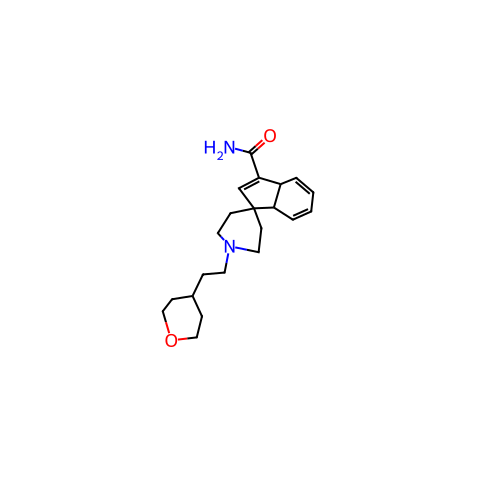 NC(=O)C1=CC2(CCN(CCC3CCOCC3)CC2)C2C=CC=CC12